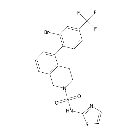 O=S(=O)(Nc1nccs1)N1CCc2c(cccc2-c2ccc(C(F)(F)F)cc2Br)C1